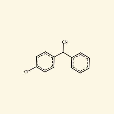 N#CC(c1ccccc1)c1ccc(Cl)cc1